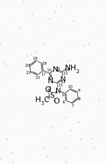 CS(=O)(=O)N(c1ccccc1)c1nc(N)nc(-c2ccccc2)n1